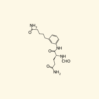 NC(=O)CCCCc1cccc(NC(=O)[C@H](CCC(N)=O)NC=O)c1